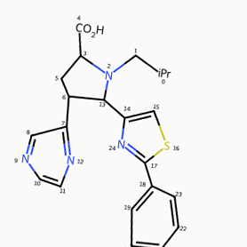 CC(C)CN1C(C(=O)O)CC(c2cnccn2)C1c1csc(-c2ccccc2)n1